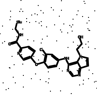 CC(C)(C)CNC(=O)c1ccc(Oc2ccc(Nc3ncnc4ccn(CCO)c34)cc2Cl)cn1